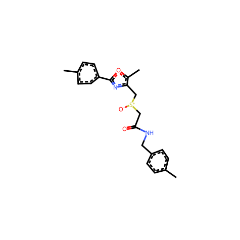 Cc1ccc(CNC(=O)C[S+]([O-])Cc2nc(-c3ccc(C)cc3)oc2C)cc1